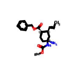 CC=C[C@H]1C[C@](N)(NC(=O)OC(C)(C)C)CC[C@@H]1C(=O)OCc1ccccc1